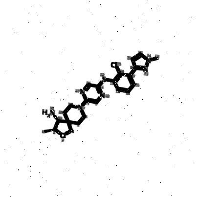 C[C@@H]1OCC2(CCN(c3cnc(Sc4cccc(-c5ccn(C)n5)c4Cl)cn3)CC2)[C@@H]1N